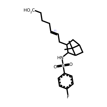 CC1(C)C2CC(C/C=C/CCCC(=O)O)C(NS(=O)(=O)c3ccc(F)cc3)C1C2